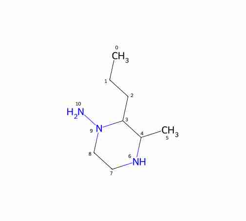 CCCC1C(C)NCCN1N